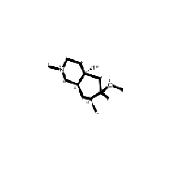 COC1(C)C[C@@H]2CCN(C)CC2C[C@@H]1C